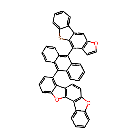 c1ccc2c(c1)oc1ccc3c(oc4cccc(-c5c6ccccc6c(-c6c7ccoc7cc7c6sc6ccccc67)c6ccccc56)c43)c12